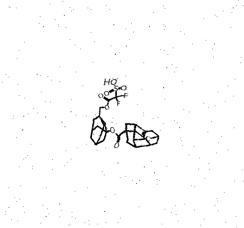 O=C(OC12CC3CC(CC(COC(=O)C(F)(F)S(=O)(=O)O)(C3)C1)C2)C12CC3=C4CC5CC3C(C1)C(C5)C4C2